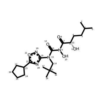 CC(C)CC[C@H](O)C(=O)N(O)C(=O)N(CC(C)(C)C)c1noc(C2CCCC2)n1